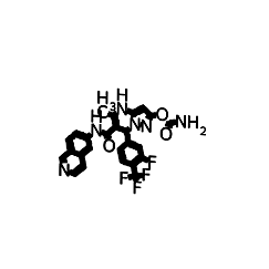 CC1=C(C(=O)Nc2ccc3cnccc3c2)C(c2ccc(C(F)(F)F)c(F)c2)n2nc(OC(N)=O)cc2N1